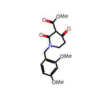 COC(=O)C1C(=O)CCN(Cc2ccc(OC)cc2OC)C1=O